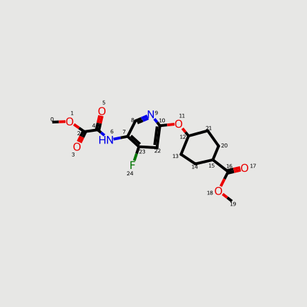 COC(=O)C(=O)Nc1cnc(OC2CCC(C(=O)OC)CC2)cc1F